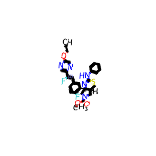 C#CCOc1cnc(/C(F)=C/c2ccc(F)c([C@]34CN(C(=O)OC)C[C@@H]3CSC(Nc3ccccc3)=N4)c2)cn1